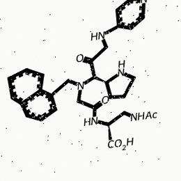 CC(=O)NC[C@H](NC(=O)CN(Cc1cccc2ccccc12)C(C(=O)CNc1ccncc1)[C@@H]1CCCN1)C(=O)O